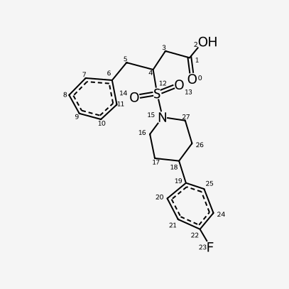 O=C(O)CC(Cc1ccccc1)S(=O)(=O)N1CCC(c2ccc(F)cc2)CC1